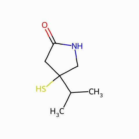 CC(C)C1(S)CNC(=O)C1